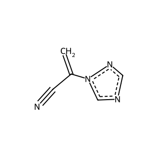 C=C(C#N)n1cncn1